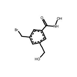 O=C(NO)c1cc(CO)cc(CBr)c1